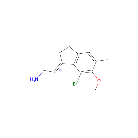 COc1c(C)cc2c(c1Br)/C(=C/CN)CC2